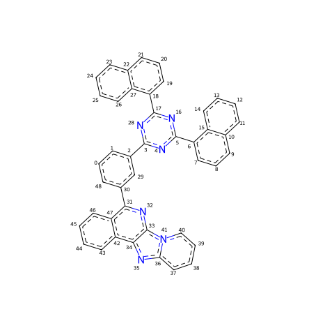 c1cc(-c2nc(-c3cccc4ccccc34)nc(-c3cccc4ccccc34)n2)cc(-c2nc3c(nc4ccccn43)c3ccccc23)c1